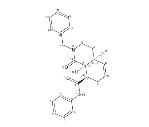 O=C(Nc1ccccc1)[C@@H]1CC=C[C@@H]2CCN(Cc3ccccc3)C(=O)[C@@H]21